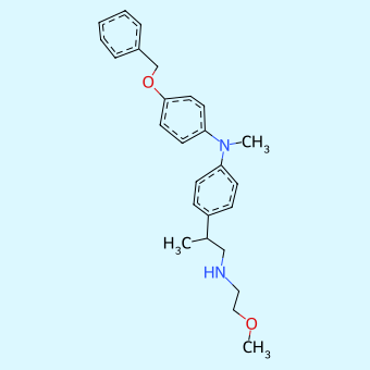 COCCNCC(C)c1ccc(N(C)c2ccc(OCc3ccccc3)cc2)cc1